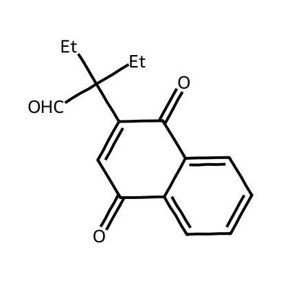 CCC(C=O)(CC)C1=CC(=O)c2ccccc2C1=O